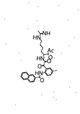 CC(=N)NCCCCC(NC(=O)C(=O)c1cc(C)ccc1NC(=O)c1ccc2ccccc2c1)C(=O)C(C)=O